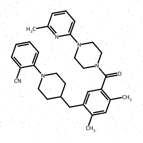 Cc1cccc(N2CCN(C(=O)c3cc(CC4CCN(c5ccccc5C#N)CC4)c(C)cc3C)CC2)n1